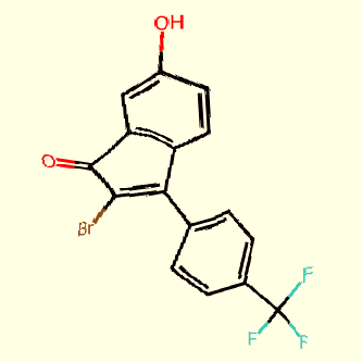 O=C1C(Br)=C(c2ccc(C(F)(F)F)cc2)c2ccc(O)cc21